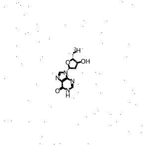 [2H]C[C@H]1O[C@@H](n2cnc3c(=O)[nH]cnc32)CC1O